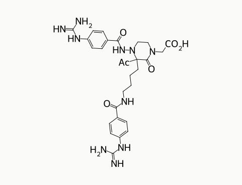 CC(=O)C1(CCCCNC(=O)c2ccc(NC(=N)N)cc2)C(=O)N(CC(=O)O)CCN1NC(=O)c1ccc(NC(=N)N)cc1